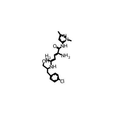 Cc1cc(NC(=O)/C(N)=C/C=C(\N)NC(CO)Cc2ccc(Cl)cc2)n(C)n1